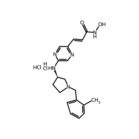 Cc1ccccc1CN1CC[C@@H](Nc2cnc(C=CC(=O)NO)cn2)C1.Cl.Cl